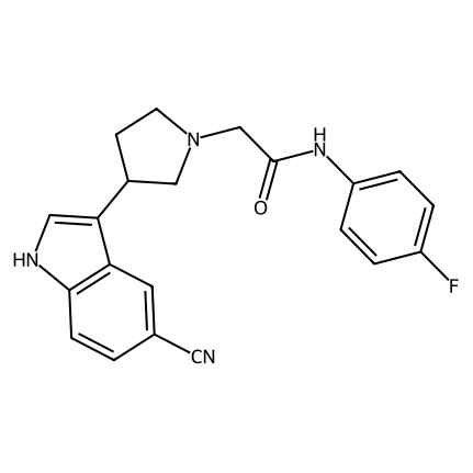 N#Cc1ccc2[nH]cc(C3CCN(CC(=O)Nc4ccc(F)cc4)C3)c2c1